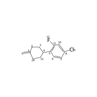 C=C1CCC(c2ccc(Cl)cc2F)CC1